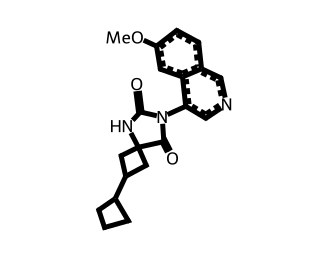 COc1ccc2cncc(N3C(=O)NC4(CC(C5CCC5)C4)C3=O)c2c1